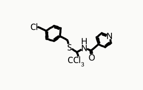 O=C(NC(SCc1ccc(Cl)cc1)C(Cl)(Cl)Cl)c1ccncc1